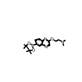 CN(C)CCOc1cnc2cc(B3OC(C)(C)C(C)(C)O3)ccc2n1